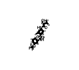 Cc1cc(NC(=O)[C@@H](CO)C(C)C)ccc1S(=O)(=O)Nc1cccc(OC(F)(F)F)c1